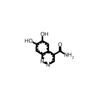 NC(=O)c1cnnc2cc(O)c(O)cc12